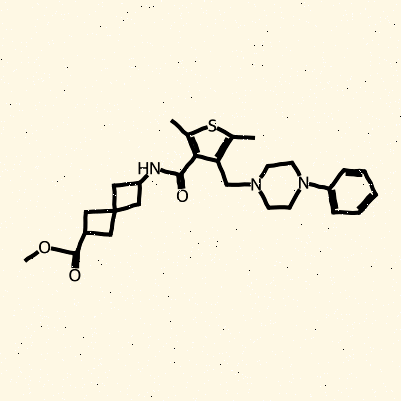 COC(=O)C1CC2(CC(NC(=O)c3c(C)sc(C)c3CN3CCN(c4ccccc4)CC3)C2)C1